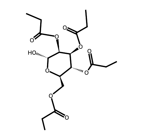 CCC(=O)OC[C@H]1O[C@H](O)[C@@H](OC(=O)CC)[C@@H](OC(=O)CC)[C@@H]1OC(=O)CC